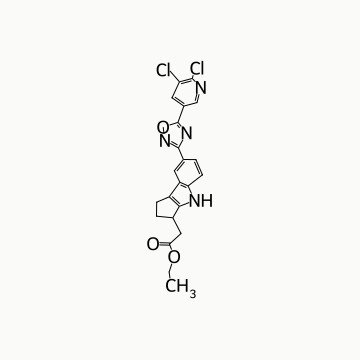 CCOC(=O)CC1CCc2c1[nH]c1ccc(-c3noc(-c4cnc(Cl)c(Cl)c4)n3)cc21